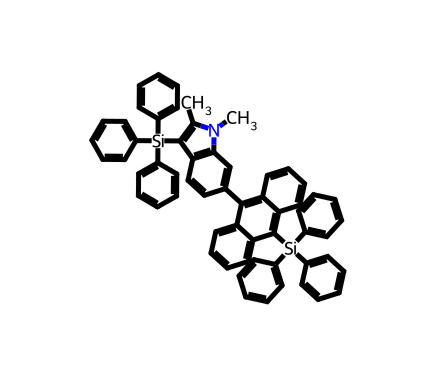 Cc1c([Si](c2ccccc2)(c2ccccc2)c2ccccc2)c2ccc(-c3c4ccccc4c([Si](c4ccccc4)(c4ccccc4)c4ccccc4)c4ccccc34)cc2n1C